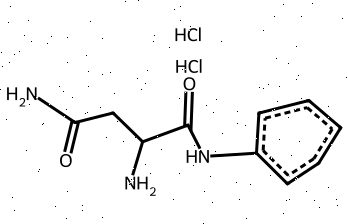 Cl.Cl.NC(=O)CC(N)C(=O)Nc1ccccc1